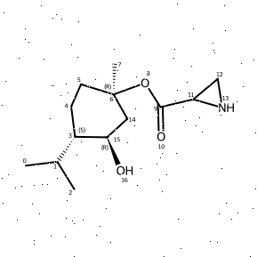 CC(C)[C@@H]1CC[C@@](C)(OC(=O)C2CN2)C[C@H]1O